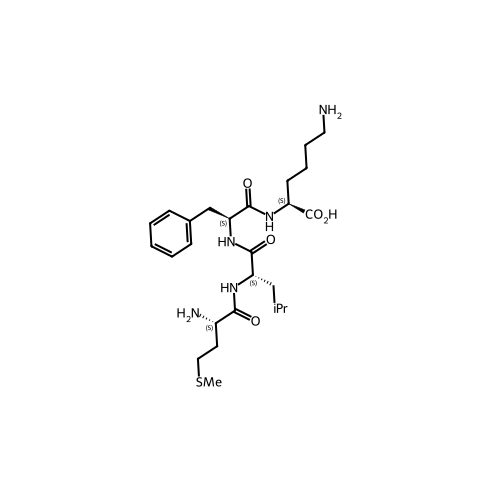 CSCC[C@H](N)C(=O)N[C@@H](CC(C)C)C(=O)N[C@@H](Cc1ccccc1)C(=O)N[C@@H](CCCCN)C(=O)O